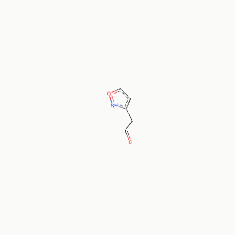 O=CCc1ccon1